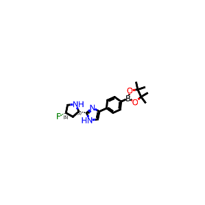 CC1(C)OB(c2ccc(-c3c[nH]c([C@@H]4C[C@H](F)CN4)n3)cc2)OC1(C)C